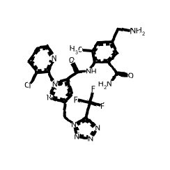 Cc1cc(CN)cc(C(N)=O)c1NC(=O)c1cc(Cn2nnnc2C(F)(F)F)nn1-c1ncccc1Cl